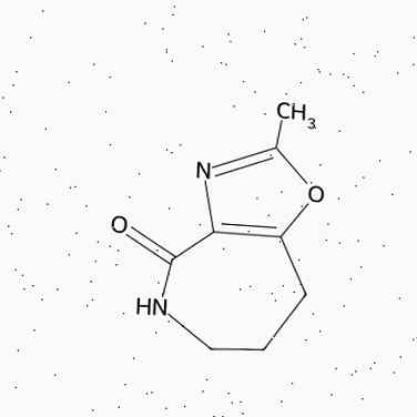 Cc1nc2c(o1)CCCNC2=O